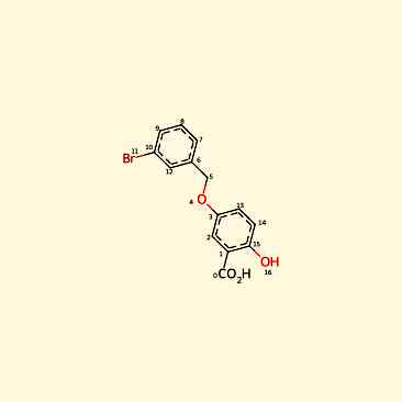 O=C(O)c1cc(OCc2cccc(Br)c2)ccc1O